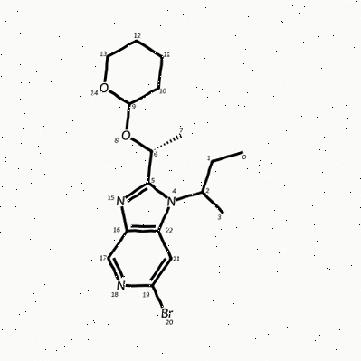 CCC(C)n1c([C@@H](C)OC2CCCCO2)nc2cnc(Br)cc21